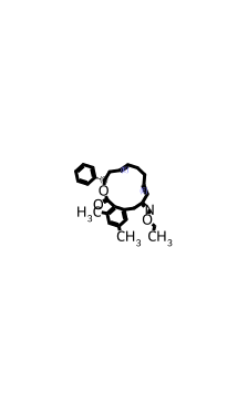 CCON=C1/C=C/CC/C=C/C[C@@H](c2ccccc2)OC(=O)c2c(C)cc(C)cc2C1